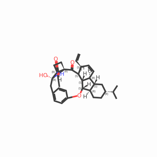 C=C[C@H]1C=C[C@H]2[C@@H]3C[C@H](C(C)C)CC[C@H]3[C@@H]3Oc4ccc(cc4)C[C@]4(O)NC(=O)[C@@]5(CC[C@H]54)C(=O)[C@@H]1[C@H]23